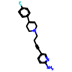 Nc1ccc(C#CCCN2CC=C(c3ccc(F)cc3)CC2)cn1